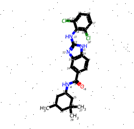 CC1CC(NC(=O)c2ccc3[nH]c(Nc4c(Cl)cccc4Cl)nc3c2)CC(C)(C)C1